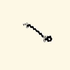 Cc1cccc(C(=O)NCCCCCCCCCCC(=O)O)c1